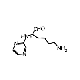 NCCCC[C@H](C=O)Nc1cnccn1